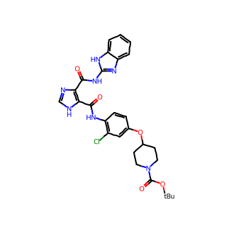 CC(C)(C)OC(=O)N1CCC(Oc2ccc(NC(=O)c3[nH]cnc3C(=O)Nc3nc4ccccc4[nH]3)c(Cl)c2)CC1